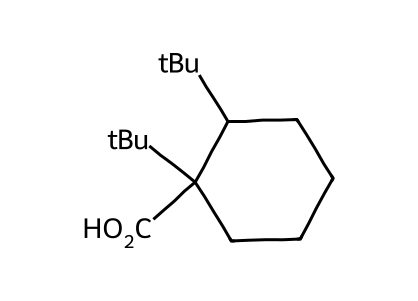 CC(C)(C)C1CCCCC1(C(=O)O)C(C)(C)C